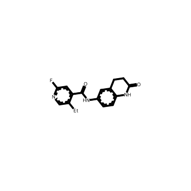 CCc1cnc(F)cc1C(=O)Nc1ccc2c(c1)CCC(=O)N2